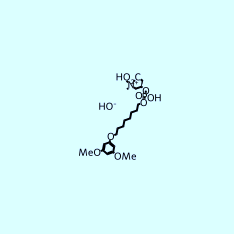 COc1cc(OC)cc(OCCCCCCCCOP(=O)(O)O[C@H](CC(=O)O)C[N+](C)(C)C)c1.[OH-]